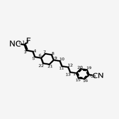 N#CC(F)=CCCC1CCC(CCCCc2ccc(C#N)cc2)CC1